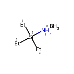 B.CC[Si](N)(CC)CC